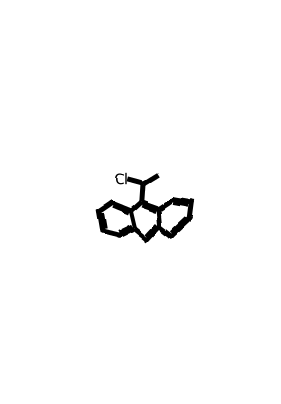 CC(Cl)c1c2ccccc2cc2ccccc12